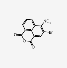 O=C1OC(=O)c2cc(Br)c([N+](=O)[O-])c3cccc1c23